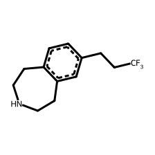 FC(F)(F)CCc1ccc2c(c1)CCNCC2